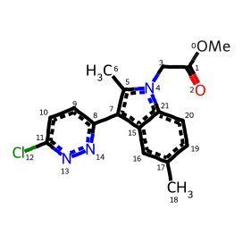 COC(=O)Cn1c(C)c(-c2ccc(Cl)nn2)c2cc(C)ccc21